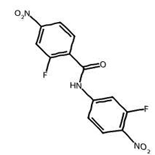 O=C(Nc1ccc([N+](=O)[O-])c(F)c1)c1ccc([N+](=O)[O-])cc1F